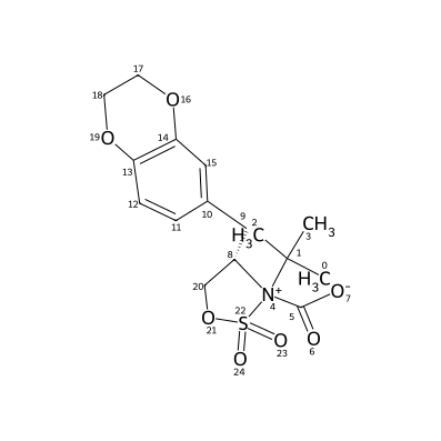 CC(C)(C)[N+]1(C(=O)[O-])[C@@H](Cc2ccc3c(c2)OCCO3)COS1(=O)=O